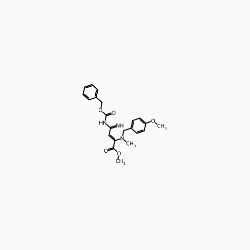 COC(=O)/C(=C/C(=N)NC(=O)OCc1ccccc1)N(C)Cc1ccc(OC)cc1